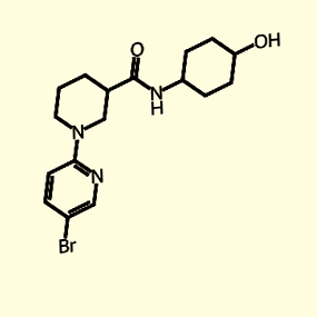 O=C(NC1CCC(O)CC1)C1CCCN(c2ccc(Br)cn2)C1